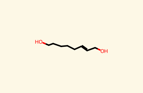 OCC=CCCCCCO